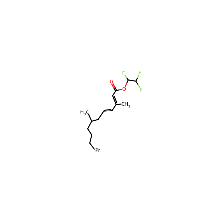 CC(C=CCC(C)CCCC(C)C)=CC(=O)OC(F)C(F)F